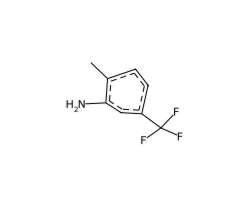 Cc1ccc(C(F)(F)F)cc1N